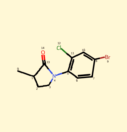 CC1CCN(c2ccc(Br)cc2Cl)C1=O